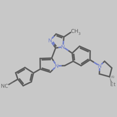 CC[C@H]1CCN(c2ccc3c(c2)Cn2cc(-c4ccc(C#N)cc4)cc2-c2ncc(C)n2-3)C1